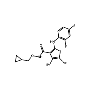 CC(=O)c1sc(Nc2ccc(I)cc2F)c(C(=O)NOCC2CC2)c1C(C)C